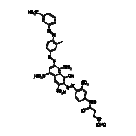 Cc1cc(/N=N/c2cc(S(=O)(=O)O)c3cc(S(=O)(=O)O)c(/N=N/c4ccc(NC(=O)CCOC=O)cc4[N+](=O)[O-])c(O)c3c2N)ccc1/N=N/c1cccc(C(=O)O)c1